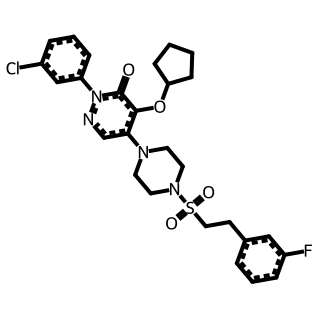 O=c1c(OC2CCCC2)c(N2CCN(S(=O)(=O)CCc3cccc(F)c3)CC2)cnn1-c1cccc(Cl)c1